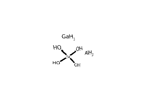 O[Si](O)(O)O.[AlH3].[GaH3]